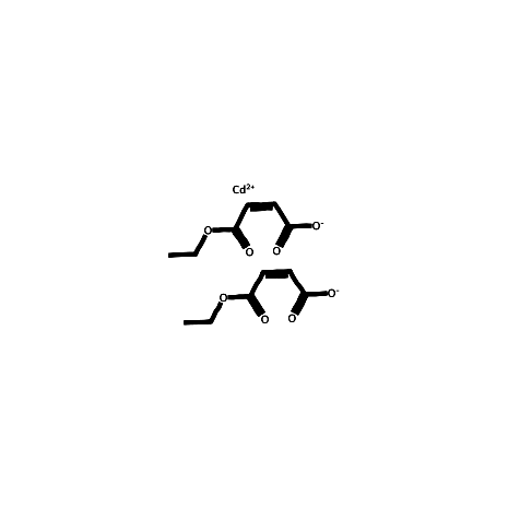 CCOC(=O)/C=C\C(=O)[O-].CCOC(=O)/C=C\C(=O)[O-].[Cd+2]